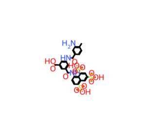 Cc1ccc(C(=O)Nc2cc(C(=O)O)cc(C(=O)Nc3ccc(S(=O)(=O)O)c4cc(S(=O)(=O)O)cc(S(=O)(=O)O)c34)c2)cc1N